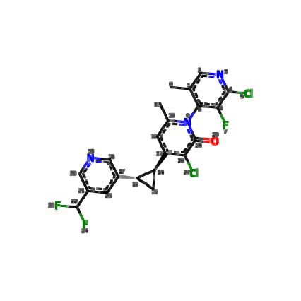 Cc1cnc(Cl)c(F)c1-n1c(C)cc([C@H]2C[C@@H]2c2cncc(C(F)F)c2)c(Cl)c1=O